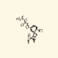 CCOC(=O)COc1ccc(Cl)c(OC(F)(F)F)c1